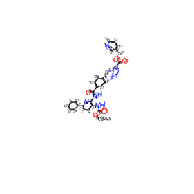 CC(C)(C)OC(=O)Nc1ccc(-c2ccccc2)nc1NC(=O)c1ccc(CNC(=O)OCc2cccnc2)cc1